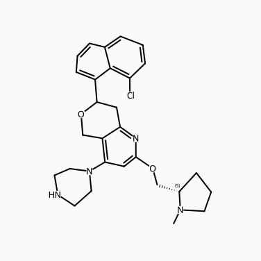 CN1CCC[C@H]1COc1cc(N2CCNCC2)c2c(n1)CC(c1cccc3cccc(Cl)c13)OC2